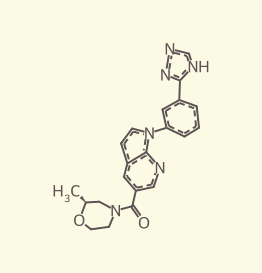 C[C@H]1CN(C(=O)c2cnc3c(ccn3-c3cccc(-c4nnc[nH]4)c3)c2)CCO1